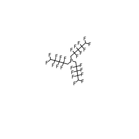 FC(F)C(F)(F)C(F)(F)C(F)(F)CP(CC(F)(F)C(F)(F)C(F)(F)C(F)F)CC(F)(F)C(F)(F)C(F)(F)C(F)F